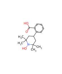 CC1(C)CC(c2ccccc2C(=O)O)CC(C)(C)N1O